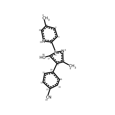 Cc1ccc(-n2nc(C)c(-c3ccc(C#N)cc3)c2O)nc1